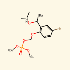 C[SiH](C)OC(c1cc(Br)ccc1OCOP(=O)(OC(C)(C)C)OC(C)(C)C)C(C)(C)C